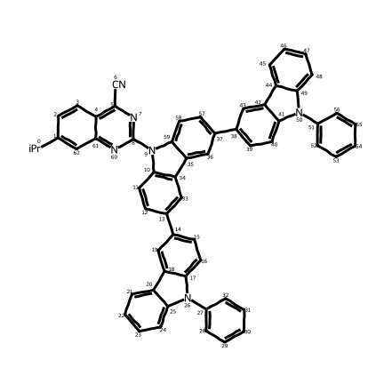 CC(C)c1ccc2c(C#N)nc(-n3c4ccc(-c5ccc6c(c5)c5ccccc5n6-c5ccccc5)cc4c4cc(-c5ccc6c(c5)c5ccccc5n6-c5ccccc5)ccc43)nc2c1